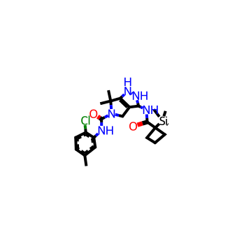 Cc1ccc(Cl)c(NC(=O)N2CC3=C(NNC3NC(=O)C3([Si](C)(C)C)CCC3)C2(C)C)c1